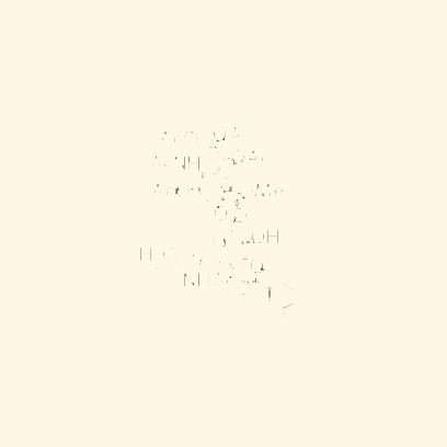 C=CCO[C@H]1OC(CO[C@]2(C(=O)OC)C[C@@H](OC(C)=O)[C@@H](NC(C)=O)C([C@H](OC(C)=O)[C@@H](COC(C)=O)OC(C)=O)O2)[C@@H](O)C(OC(=O)c2ccccc2)C1NC(C)=O